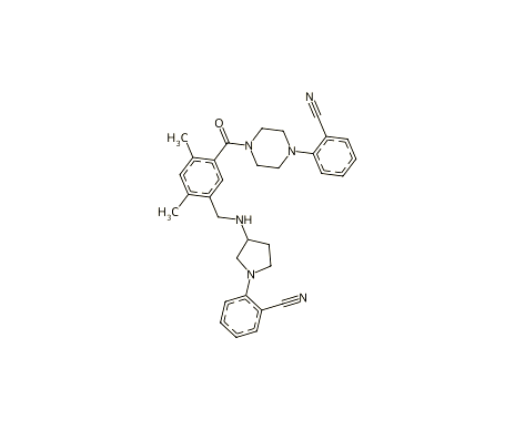 Cc1cc(C)c(C(=O)N2CCN(c3ccccc3C#N)CC2)cc1CNC1CCN(c2ccccc2C#N)C1